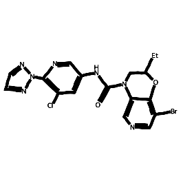 CCC1CN(C(=O)Nc2cnc(-n3nccn3)c(Cl)c2)c2cncc(Br)c2O1